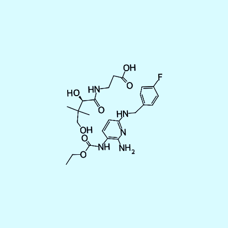 CC(C)(CO)[C@@H](O)C(=O)NCCC(=O)O.CCOC(=O)Nc1ccc(NCc2ccc(F)cc2)nc1N